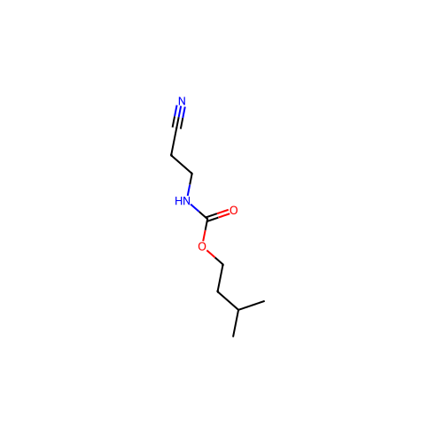 CC(C)CCOC(=O)NCCC#N